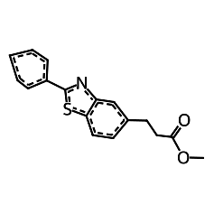 COC(=O)CCc1ccc2sc(-c3ccccc3)nc2c1